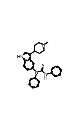 CN1CCC(c2c[nH]c3ccc(N(C(=S)Nc4ccccc4)c4ccccc4)cc23)CC1